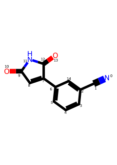 N#Cc1cccc(C2=CC(=O)NC2=O)c1